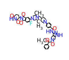 COC(C(=O)N1Cc2[nH]nc(NC(=O)c3ccc(N4CCC(CN5C(C)CN(c6cc7c(cc6F)C(=O)N(C6CCC(=O)NC6=O)C7=O)CC5C)CC4)cc3)c2C1)c1ccccc1